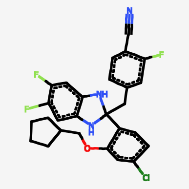 N#Cc1ccc(CC2(c3ccc(Cl)cc3OCC3CCCC3)Nc3cc(F)c(F)cc3N2)cc1F